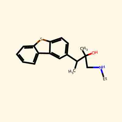 CCNCC(C)(O)C(C)c1ccc2sc3ccccc3c2c1